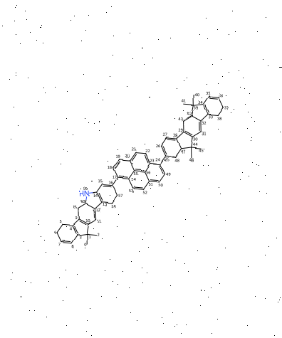 CC1(C)C2=C(CCC=C2)C2=C1C=C1C3=C(C=C(c4ccc5ccc6c(C7=CC=C8C9=C(C=C%10C%11=C(C=CCC%11)C(C)(C)C%10C9)C(C)(C)C8C7)ccc7ccc4c5c76)CC3)NC1C2